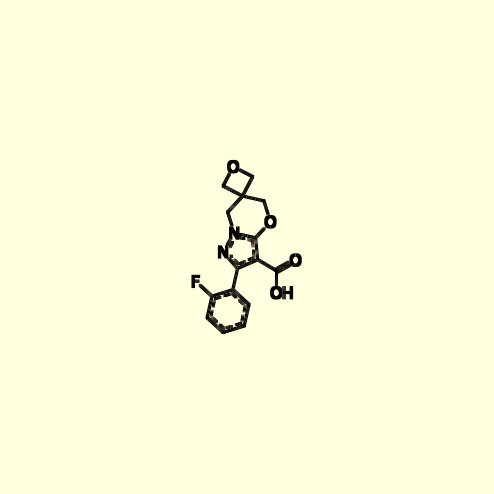 O=C(O)c1c(-c2ccccc2F)nn2c1OCC1(COC1)C2